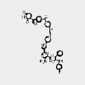 Nc1ncc(-c2cnn(C3CCN(CCOC4CCN(C(=O)c5ccc6c(N7CCC(=O)NC7=O)coc6c5)CC4)CC3)c2)nc1C(=O)O[C@@H](C(=O)Nc1ccc(F)cc1)c1ccccc1